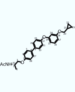 CC(=O)N[C@@H](C)COc1ccc(-c2ccc(Oc3cccc(OCC4CC4)c3)cc2)cc1